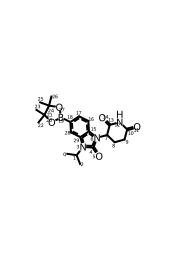 CC(C)n1c(=O)n(C2CCC(=O)NC2=O)c2ccc(B3OC(C)(C)C(C)(C)O3)cc21